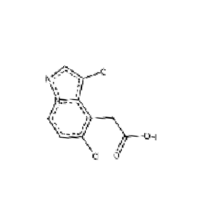 O=C(O)Cc1c(Cl)ccn2ncc(Cl)c12